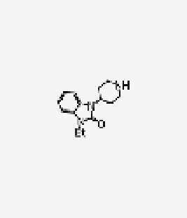 CCn1c(=O)n(C2CCNCC2)c2ccccc21